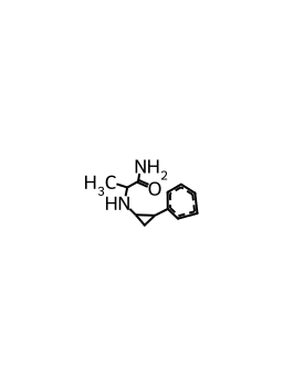 CC(NC1CC1c1ccccc1)C(N)=O